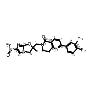 CC1(CN2CCc3nc(-c4ccc(F)c(F)c4)ccc3C2=O)Cn2cc([N+](=O)[O-])nc2O1